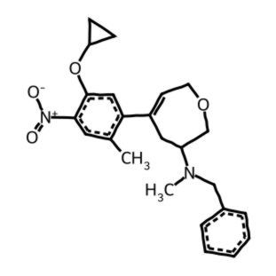 Cc1cc([N+](=O)[O-])c(OC2CC2)cc1C1=CCOCC(N(C)Cc2ccccc2)C1